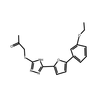 CCOc1cccc(-c2ccc(-c3nnc(SCC(C)=O)[nH]3)o2)c1